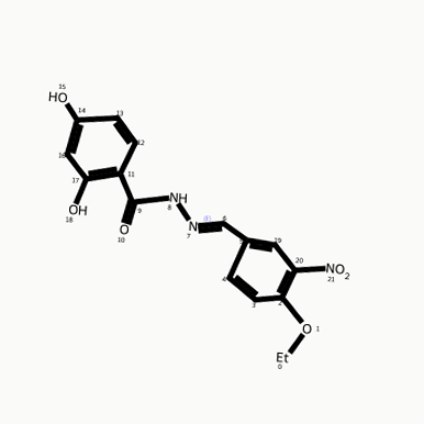 CCOc1ccc(/C=N/NC(=O)c2ccc(O)cc2O)cc1[N+](=O)[O-]